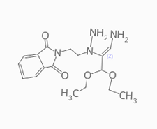 CCOC(OCC)/C(=C/N)N(N)CCN1C(=O)c2ccccc2C1=O